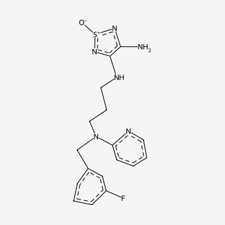 Nc1n[s+]([O-])nc1NCCCN(Cc1cccc(F)c1)c1ccccn1